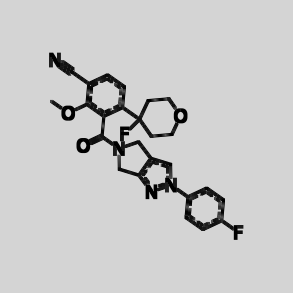 COc1c(C#N)ccc(C2(F)CCOCC2)c1C(=O)N1Cc2cn(-c3ccc(F)cc3)nc2C1